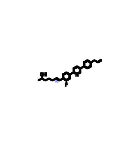 C=CCc1ccc(-c2ccc(-c3ccc(/C=C/CCCC(C)O)c(F)c3)nc2)cc1